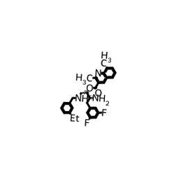 CCc1cccc(CNC[C@@H](OC(=O)c2cc3cccc(C)c3nc2C)[C@@H](N)Cc2cc(F)cc(F)c2)c1